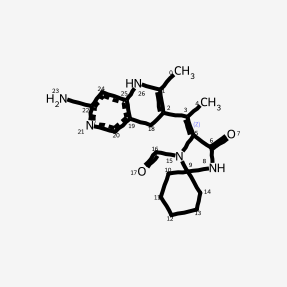 CC1=C(/C(C)=C2/C(=O)NC3(CCCCC3)N2C=O)Cc2cnc(N)cc2N1